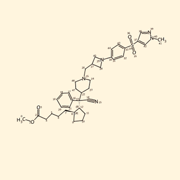 COC(=O)CCCC[C@@H]1CCC[C@H]1C(C#N)(c1ccccc1)C1CCN(CC2CN(c3ccc(S(=O)(=O)c4cnn(C)c4)cc3)C2)CC1